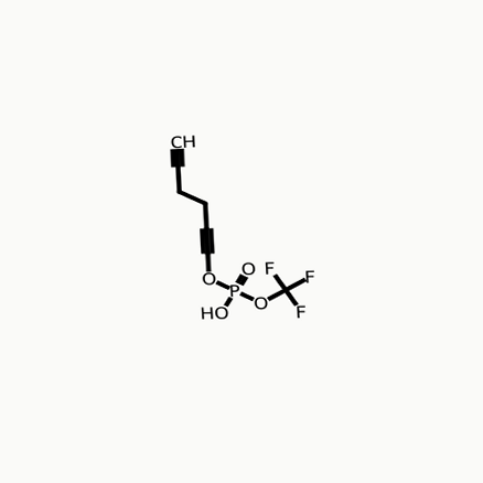 C#CCCC#COP(=O)(O)OC(F)(F)F